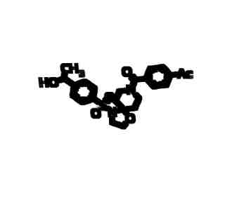 CC(=O)c1ccc(C(=O)N2CCC3(CC2)OCCN3S(=O)(=O)c2ccc(C(C)O)cc2)cc1